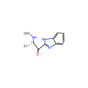 CC[C@H](NC=O)C(=O)c1nc2ccccc2[nH]1